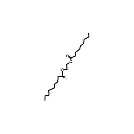 CCCCCCCCC(=O)O[CH]COC(=O)CCCCCCCC